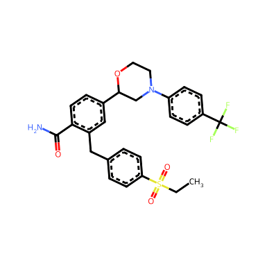 CCS(=O)(=O)c1ccc(Cc2cc(C3CN(c4ccc(C(F)(F)F)cc4)CCO3)ccc2C(N)=O)cc1